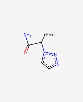 CCCCCC(C(N)=O)n1ccnn1